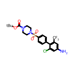 CC(C)(C)OC(=O)N1CCN(S(=O)(=O)c2ccc(-c3c(Cl)cc(N)cc3C(F)(F)F)cc2)CC1